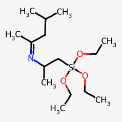 CCO[Si](CC(C)/N=C(/C)CC(C)C)(OCC)OCC